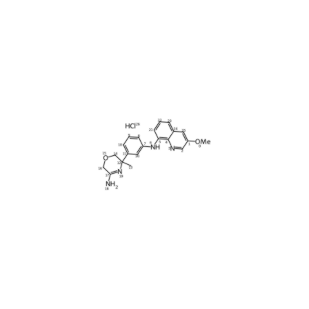 COc1cnc2c(Nc3cccc(C4(C)COCC(N)=N4)c3)cccc2c1.Cl